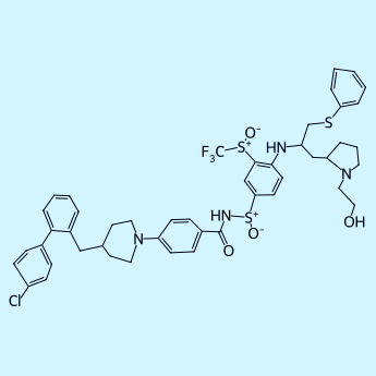 O=C(N[S+]([O-])c1ccc(NC(CSc2ccccc2)CC2CCCN2CCO)c([S+]([O-])C(F)(F)F)c1)c1ccc(N2CCC(Cc3ccccc3-c3ccc(Cl)cc3)CC2)cc1